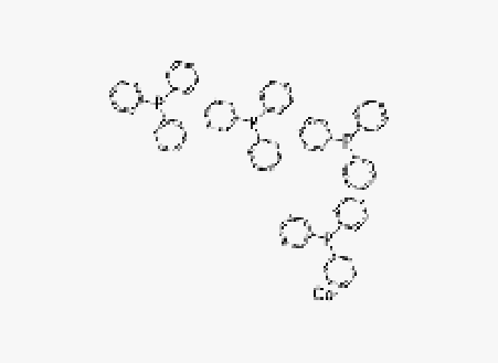 [Co].c1ccc(P(c2ccccc2)c2ccccc2)cc1.c1ccc(P(c2ccccc2)c2ccccc2)cc1.c1ccc(P(c2ccccc2)c2ccccc2)cc1.c1ccc(P(c2ccccc2)c2ccccc2)cc1